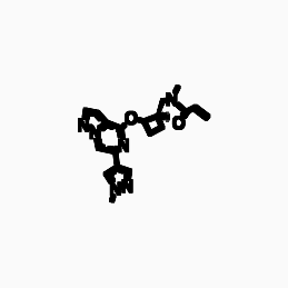 C=CC(=O)N(C)C[C@H]1CCC1Oc1nc(-c2cnn(C)c2)cn2nccc12